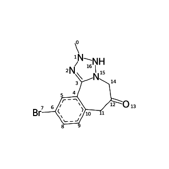 CN1N=C2c3cc(Br)ccc3CC(=O)CN2N1